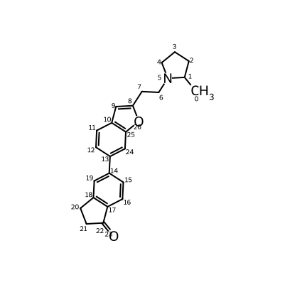 CC1CCCN1CCc1cc2ccc(-c3ccc4c(c3)CCC4=O)cc2o1